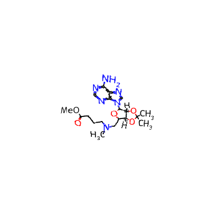 COC(=O)CCCN(C)CC1OC(n2cnc3c(N)ncnc32)[C@@H]2OC(C)(C)O[C@H]12